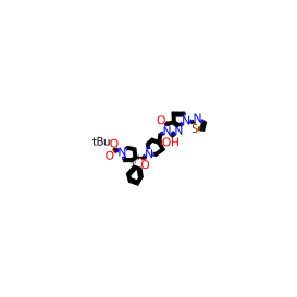 CC(C)(C)OC(=O)N1CC[C@@H](C(=O)N2CCC(O)(Cn3cnc4c(ccn4-c4nccs4)c3=O)CC2)[C@H](c2ccccc2)C1